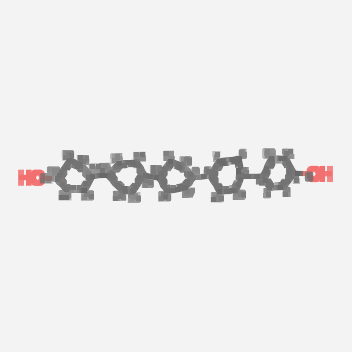 Oc1ccc(-c2ccc(-c3ccc(-c4ccc(-c5ccc(O)cc5)cc4)cc3)cc2)cc1